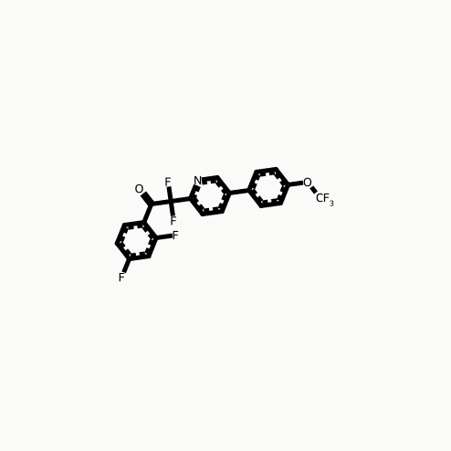 O=C(c1ccc(F)cc1F)C(F)(F)c1ccc(-c2ccc(OC(F)(F)F)cc2)cn1